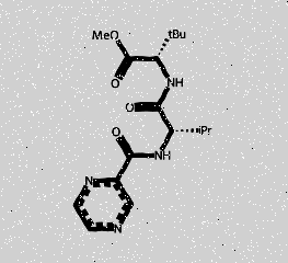 COC(=O)[C@@H](NC(=O)[C@@H](NC(=O)c1cnccn1)C(C)C)C(C)(C)C